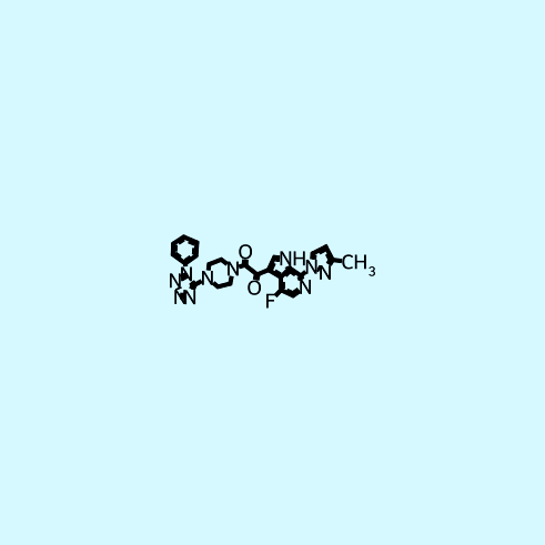 Cc1ccn(-c2ncc(F)c3c(C(=O)C(=O)N4CCN(c5nnnn5-c5ccccc5)CC4)c[nH]c23)n1